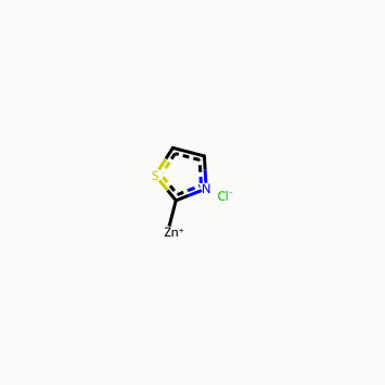 [Cl-].[Zn+][c]1nccs1